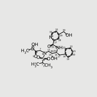 CC(C)S(=O)(=O)N(CC(=O)N(C)O)C[C@@H](O)[C@H](Cc1ccccc1)NC(=O)c1cc(CO)ccn1